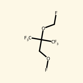 FCOC(COF)(C(F)(F)F)C(F)(F)F